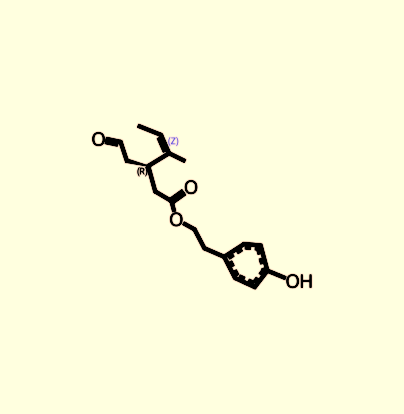 C/C=C(/C)[C@H](CC=O)CC(=O)OCCc1ccc(O)cc1